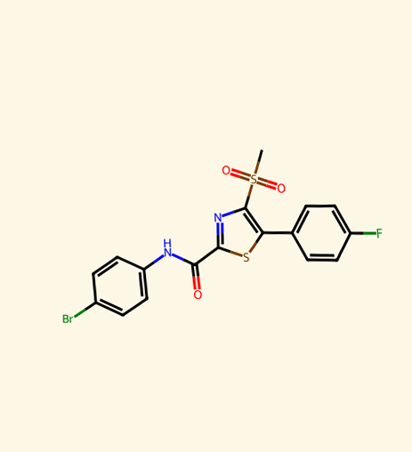 CS(=O)(=O)c1nc(C(=O)Nc2ccc(Br)cc2)sc1-c1ccc(F)cc1